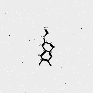 Cc1cc2ccc(O[C]=O)cc2cc1C